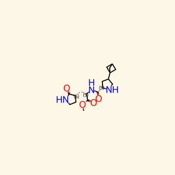 COC(=O)[C@H](C[C@@H]1CCNC1=O)NC(=O)[C@@H]1CC(C23CC(C2)C3)CN1